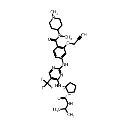 C#CCOc1cc(Nc2ncc(C(F)(F)F)c(N[C@@H]3CCC[C@@H]3C(=O)NC(C)C)n2)ccc1C(=O)N(C)C1CCN(C)CC1